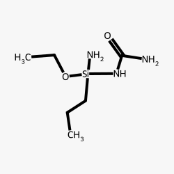 CCC[Si](N)(NC(N)=O)OCC